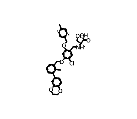 Cc1cnc(COc2cc(OCc3cccc(-c4ccc5c(c4)OCCO5)c3C)c(Cl)cc2CN[C@@](C)(CO)C(=O)O)cn1